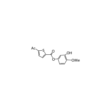 COc1ccc(OC(=O)c2ccc(C(C)=O)s2)cc1O